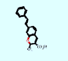 CCOC(=O)C1=Cc2ccc(C=Cc3ccccc3)cc2OC1C(F)(F)F